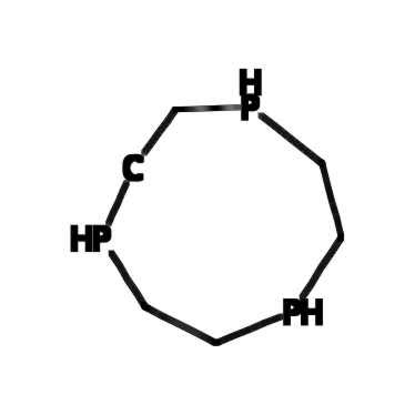 C1CPCCPCCP1